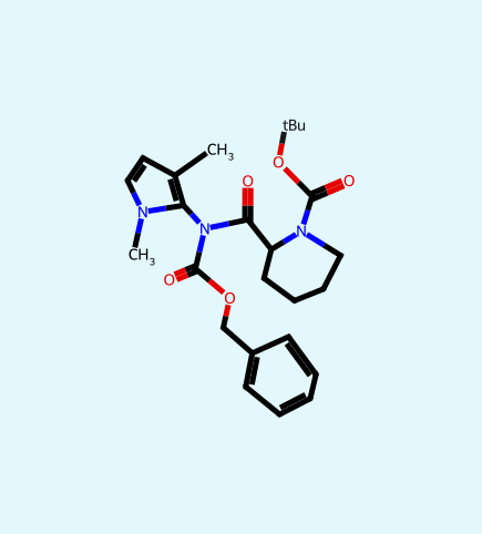 Cc1ccn(C)c1N(C(=O)OCc1ccccc1)C(=O)C1CCCCN1C(=O)OC(C)(C)C